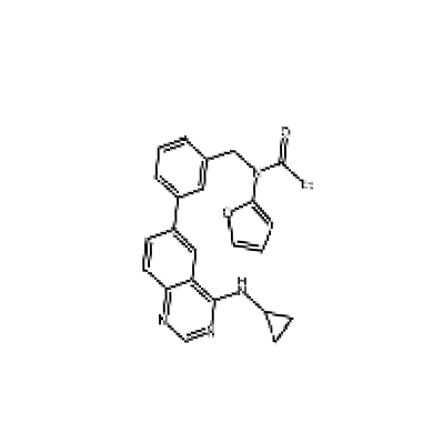 CCC(=O)N(Cc1cccc(-c2ccc3ncnc(NC4CC4)c3c2)c1)c1ccco1